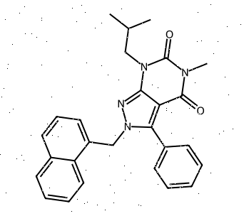 CC(C)Cn1c(=O)n(C)c(=O)c2c(-c3ccccc3)n(Cc3cccc4ccccc34)nc21